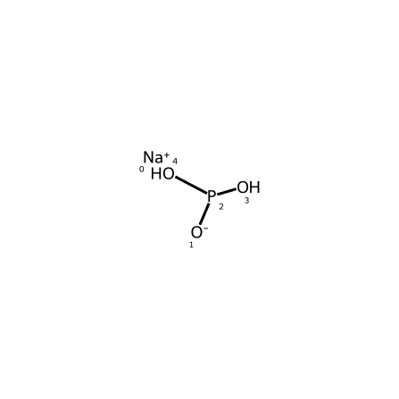 [Na+].[O-]P(O)O